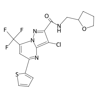 O=C(NCC1CCCO1)c1nn2c(C(F)(F)F)cc(-c3cccs3)nc2c1Cl